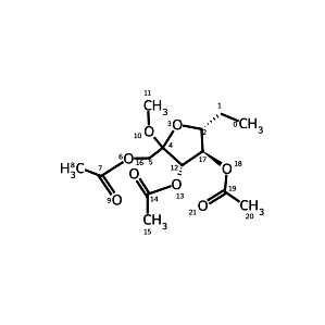 CC[C@H]1OC(COC(C)=O)(OC)[C@@H](OC(C)=O)[C@@H]1OC(C)=O